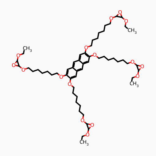 CCOC1OC1OCCCCCCCOc1cc2cc3cc(OCCCCCCCOC4OC4OCC)c(OCCCCCCCOC4OC4OCC)cc3cc2cc1OCCCCCCCOC1OC1OCC